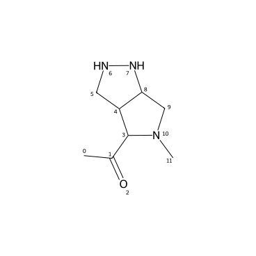 CC(=O)C1C2CNNC2CN1C